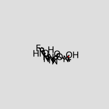 COc1cc2c(Nc3cnn(CC(=O)Nc4cccc(F)c4)c3)ncnc2cc1OCCCN(CCO)CC(C)(C)C